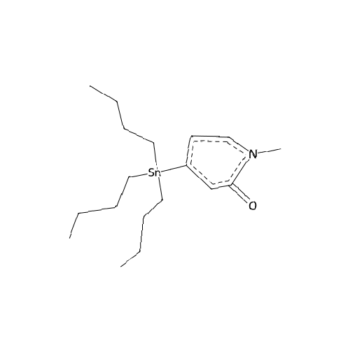 CCC[CH2][Sn]([CH2]CCC)([CH2]CCC)[c]1ccn(C)c(=O)c1